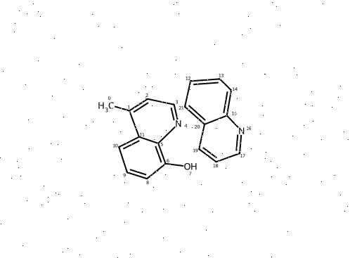 Cc1ccnc2c(O)cccc12.c1ccc2ncccc2c1